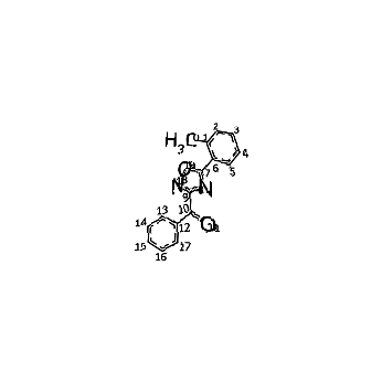 Cc1ccccc1-c1nc(C(=O)c2ccccc2)no1